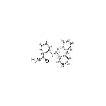 CN(Cc1ccccc1C(N)=O)c1ccccc1-c1ccccc1